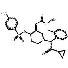 CCCCOC(=O)C=C1CN(C(C(=O)C2CC2)c2ccccc2F)CCC1SS(=O)(=O)c1ccc(C)cc1